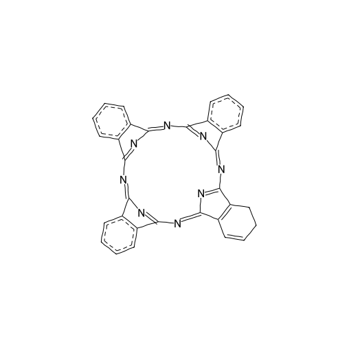 C1=CC2=C(CC1)C1=NC/2=N\C2=NC(=N\C3=NC(=N\C4=NC(=N\1)/c1ccccc14)/c1ccccc13)/c1ccccc12